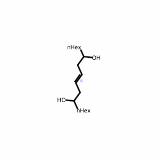 CCCCCCC(O)C/C=C/CC(O)CCCCCC